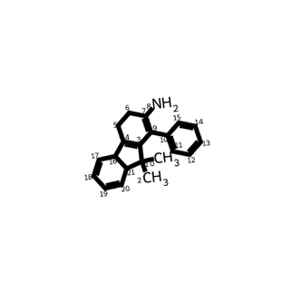 CC1(C)C2=C(CCC(N)=C2c2ccccc2)C2C=CC=CC21